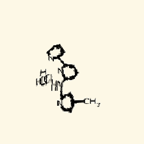 Cc1ccnc(Nc2cccc(-c3ccccn3)n2)c1.Cl.Cl